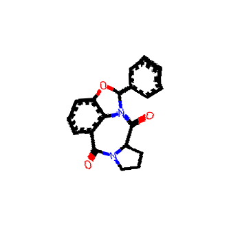 O=C1c2cccc3c2N(C(=O)C2CCCN12)C(c1ccccc1)O3